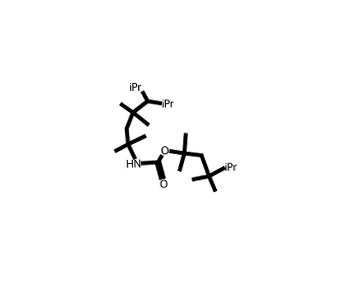 CC(C)C(C(C)C)C(C)(C)CC(C)(C)NC(=O)OC(C)(C)CC(C)(C)C(C)C